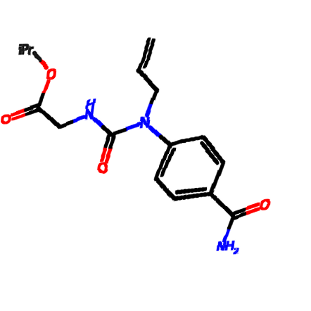 C=CCN(C(=O)NCC(=O)OC(C)C)c1ccc(C(N)=O)cc1